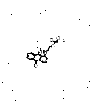 C=CC(=O)OCCNc1cccc2c1C(=O)c1ccccc1C2=O